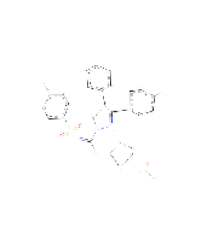 NS(=O)(=O)[C@H]1CC[C@@H](NC(=NS(=O)(=O)c2ccc(Cl)cc2)N2CC(c3ccccc3)C(c3ccc(Cl)cc3)=N2)C1